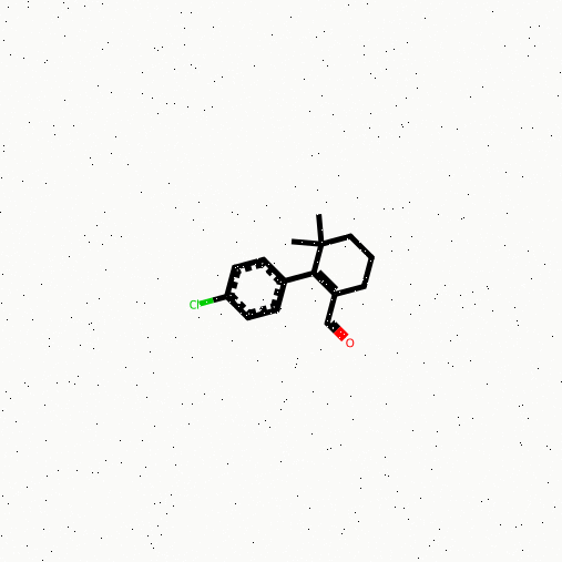 CC1(C)CCCC(C=O)=C1c1ccc(Cl)cc1